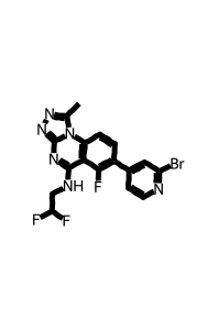 Cc1nnc2nc(NCC(F)F)c3c(F)c(-c4ccnc(Br)c4)ccc3n12